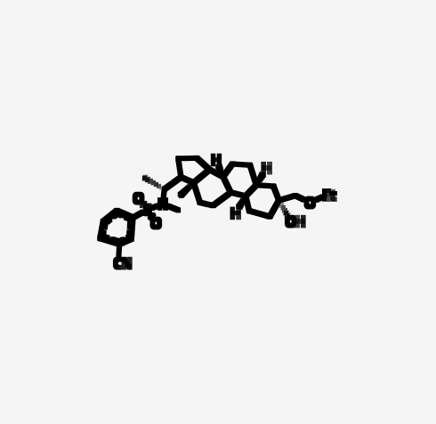 CCOC[C@@]1(O)CC[C@@H]2C3CC[C@@]4(C)C(CCC4[C@@H](C)N(C)S(=O)(=O)c4cccc(C#N)c4)[C@@H]3CC[C@@H]2C1